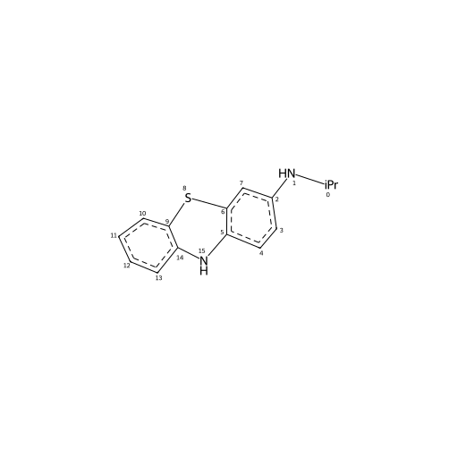 CC(C)Nc1ccc2c(c1)Sc1ccccc1N2